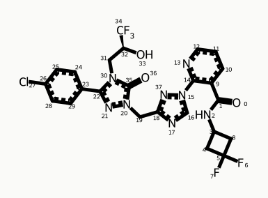 O=C(NC1CC(F)(F)C1)c1cccnc1-n1cnc(Cn2nc(-c3ccc(Cl)cc3)n(C[C@H](O)C(F)(F)F)c2=O)n1